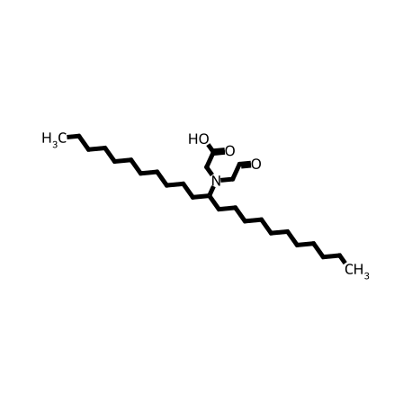 CCCCCCCCCCCC(CCCCCCCCCCC)N(CC=O)CC(=O)O